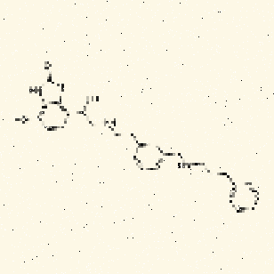 O=c1[nH]c2c(O)ccc(C(O)CNCCc3cccc(CNCCCc4ccccc4)c3)c2s1